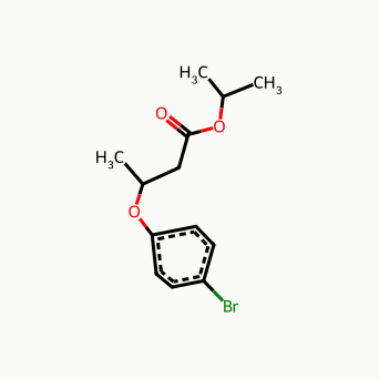 CC(C)OC(=O)CC(C)Oc1ccc(Br)cc1